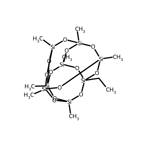 CC[Si]12O[Si]3(C)O[Si]4(C)O[Si]5(C)O[Si](C)(O3)O[Si](C)(O[Si](C)(O5)O[Si](C)(O4)O1)O2